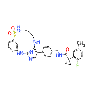 Cc1ccc(F)c(C2(C(=O)NCc3ccc(-c4cnc5nc4NCCCNS(=O)(=O)c4cccc(c4)N5)cc3)CC2)c1